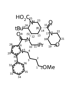 COCCCCn1c(C(=O)N(CC(C)C)[C@H]2C[C@@H](C(=O)N3CCOCC3)CN(C(=O)O)C2C(C)(C)C)ccc1-c1ccccc1